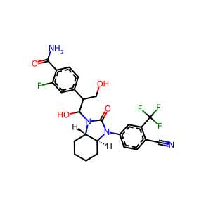 N#Cc1ccc(N2C(=O)N(C(O)C(CO)c3ccc(C(N)=O)c(F)c3)[C@H]3CCCC[C@@H]32)cc1C(F)(F)F